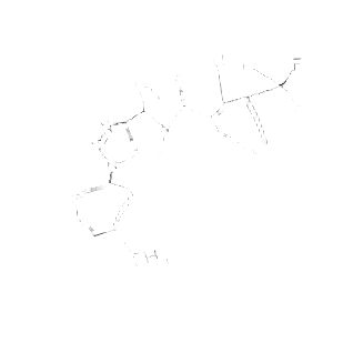 Cc1ccnc(-n2nnc3c2CCN(C(=O)c2cccc(C(F)(F)F)c2Cl)C3C)c1